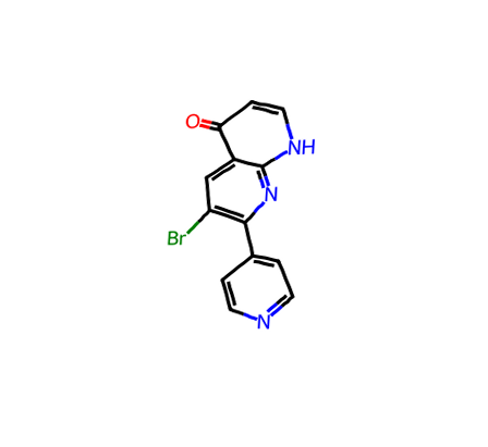 O=c1cc[nH]c2nc(-c3ccncc3)c(Br)cc12